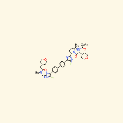 CC[C@H](C)N(Cc1nc(-c2ccc(-c3ccc(-c4nc(C5CCC(C)N5C(=O)C(NC(=O)OC)C5CCOCC5)[nH]c4F)cc3)cc2)c(F)[nH]1)C(=O)CC1CCOCC1